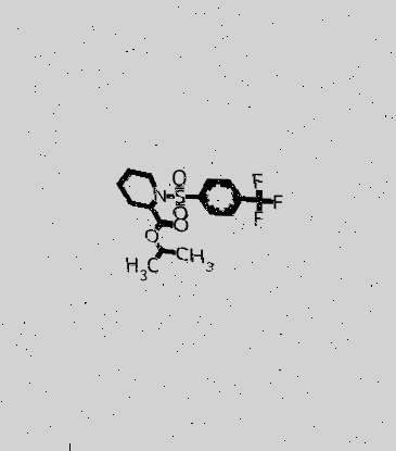 CC(C)OC(=O)C1CCCCN1S(=O)(=O)c1ccc(C(F)(F)F)cc1